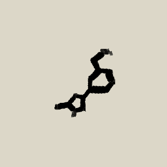 CCc1cncc(-c2n[nH]c(=O)o2)c1